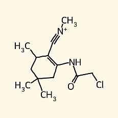 C[N+]#CC1=C(NC(=O)CCl)CC(C)(C)CC1C